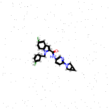 O=C(Nc1ccc(N2CC3CC3C2)nc1)c1cc2cc(F)ccc2n1Cc1cccc(F)c1